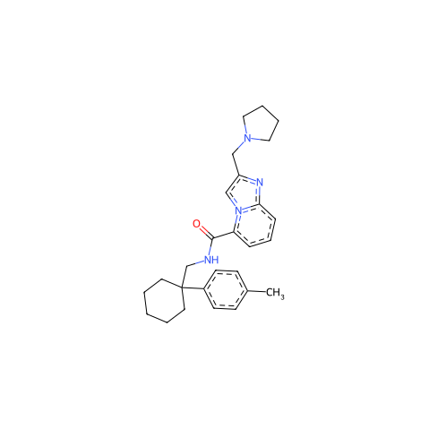 Cc1ccc(C2(CNC(=O)c3cccc4nc(CN5CCCC5)cn34)CCCCC2)cc1